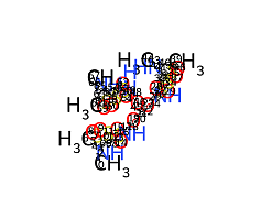 CCNC1C[C@H](C)S(=O)(=O)c2sc(S(=O)(=O)NCCOCC(COCCNS(=O)(=O)c3cc4c(s3)S(=O)(=O)C(C)C[C@@H]4NCC)COCCNS(=O)(=O)c3cc4c(s3)S(=O)(=O)[C@@H](C)C[C@@H]4NCC)cc21